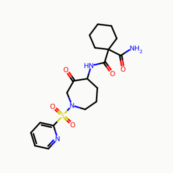 NC(=O)C1(C(=O)NC2CCCN(S(=O)(=O)c3ccccn3)CC2=O)CCCCC1